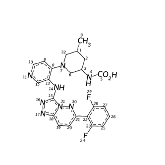 CC1CC(NC(=O)O)CN(c2ccncc2Nc2nnc3ccc(-c4c(F)cccc4F)nn23)C1